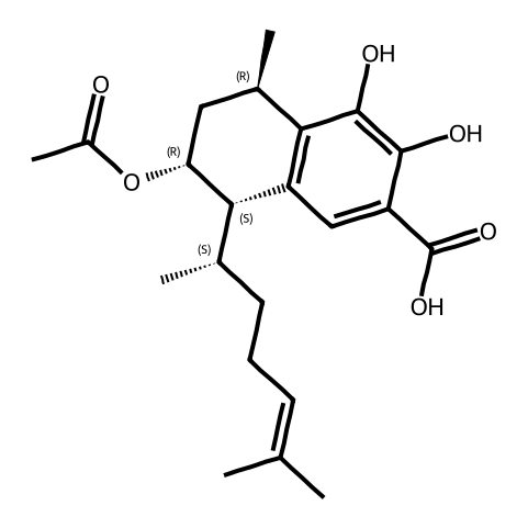 CC(=O)O[C@@H]1C[C@@H](C)c2c(cc(C(=O)O)c(O)c2O)[C@@H]1[C@@H](C)CCC=C(C)C